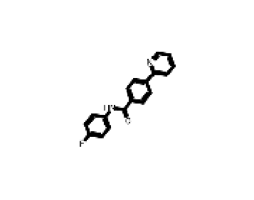 O=C(Nc1ccc(F)cc1)c1ccc(-c2ccccn2)cc1